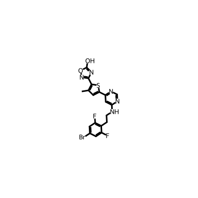 Cc1cc(-c2cc(NCCc3c(F)cc(Br)cc3F)ncn2)sc1-c1noc(O)n1